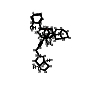 Nc1nnc(-c2ccccc2O)cc1N1CC2CCC(C1)N2c1ccnc(C#CCN2C[C@H]3CCO[C@H]3C2)c1